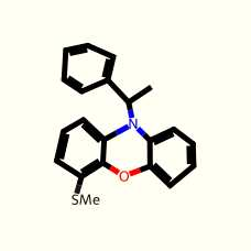 CSc1cccc2c1Oc1ccccc1N2C(C)c1ccccc1